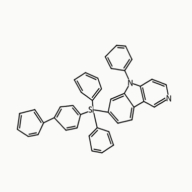 c1ccc(-c2ccc([Si](c3ccccc3)(c3ccccc3)c3ccc4c5cnccc5n(-c5ccccc5)c4c3)cc2)cc1